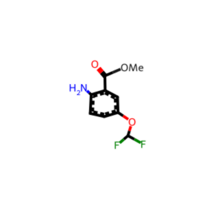 COC(=O)c1cc(OC(F)F)ccc1N